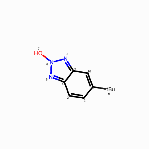 CC(C)(C)c1ccc2nn(O)nc2c1